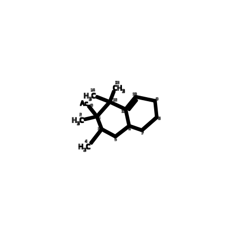 CC(=O)C1(C)C(C)CC2CCCC=C2C1(C)C